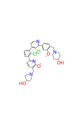 COc1cc(-c2nccc(-c3cccc(-c4ccc(CN5CCC(O)CC5)c(OC)n4)c3Cl)c2Cl)ccc1CN1CCC(O)CC1